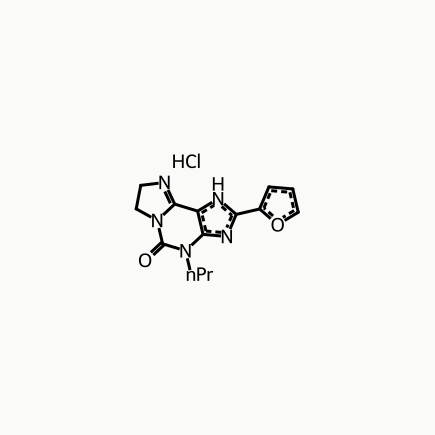 CCCN1C(=O)N2CCN=C2c2[nH]c(-c3ccco3)nc21.Cl